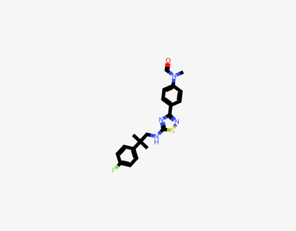 CN(C=O)c1ccc(-c2nsc(NCC(C)(C)c3ccc(F)cc3)n2)cc1